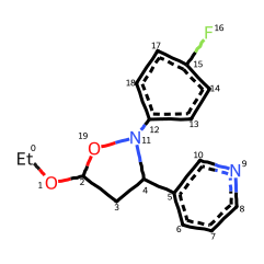 CCOC1CC(c2cccnc2)N(c2ccc(F)cc2)O1